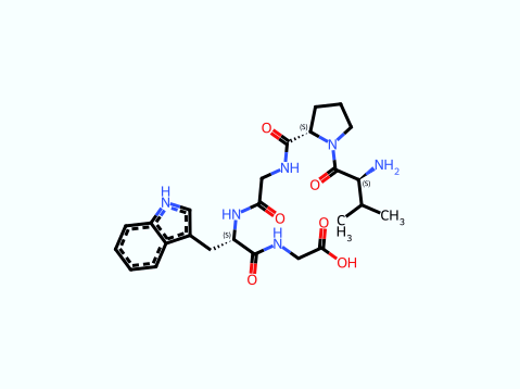 CC(C)[C@H](N)C(=O)N1CCC[C@H]1C(=O)NCC(=O)N[C@@H](Cc1c[nH]c2ccccc12)C(=O)NCC(=O)O